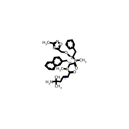 Cc1noc(COC[C@@H](Cc2ccccc2)N(C)C(=O)[C@@H](Cc2ccc3ccccc3c2)N(C)C(=O)/C=C/CC(C)(C)N)n1